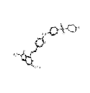 Nc1nc2cc(C(F)(F)F)cc(C=Cc3cnc(Nc4ccc(S(=O)(=O)C5CCNCC5)cc4)nc3)c2[nH]1